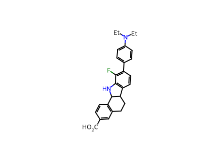 CCN(CC)c1ccc(-c2ccc3c(c2F)NC2c4ccc(C(=O)O)cc4CCC32)cc1